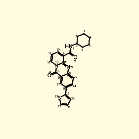 O=C(NC1CCCCC1)c1cccn2c(=O)c3cc(-c4cccs4)ccc3nc12